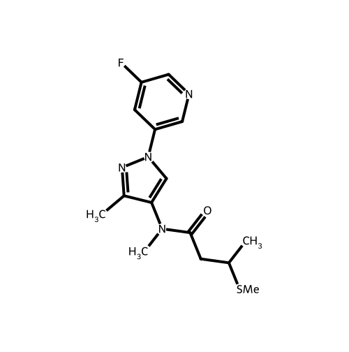 CSC(C)CC(=O)N(C)c1cn(-c2cncc(F)c2)nc1C